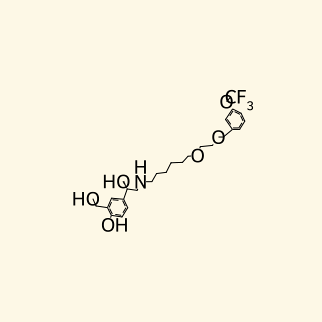 OCc1cc([C@@H](O)CNCCCCCCOCCOCc2cccc(OC(F)(F)F)c2)ccc1O